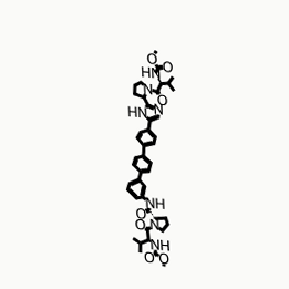 COC(=O)N[C@H](C(=O)N1CCCC1c1ncc(-c2ccc(-c3ccc(-c4cccc(NC(=O)[C@@H]5CCCN5C(=O)[C@@H](NC(=O)OC)C(C)C)c4)cc3)cc2)[nH]1)C(C)C